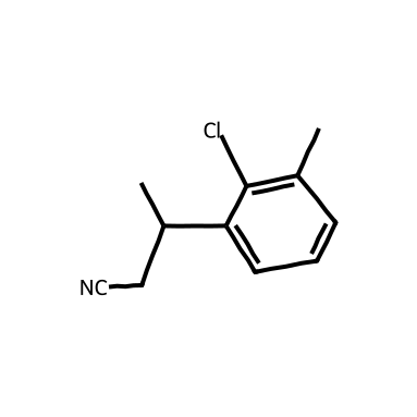 Cc1cccc(C(C)CC#N)c1Cl